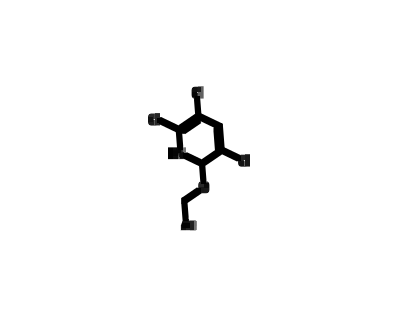 CC(=O)COC1NC(Cl)=C(Cl)C=C1Cl